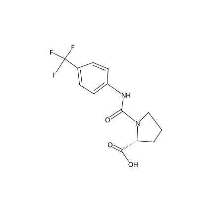 O=C(O)[C@H]1CCCN1C(=O)Nc1ccc(C(F)(F)F)cc1